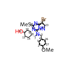 COc1ccc(CN(C[C@H]2CC[C@@H](O)CC2)c2nc(SC)nc3c(Br)cnn23)cc1